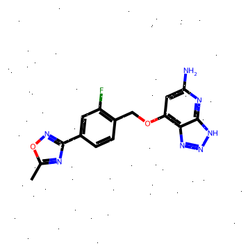 Cc1nc(-c2ccc(COc3cc(N)nc4[nH]nnc34)c(F)c2)no1